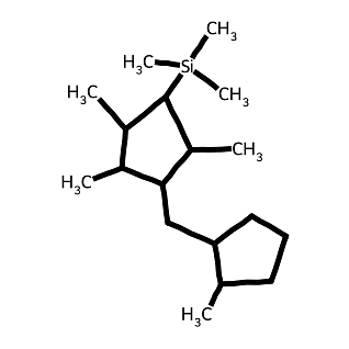 CC1CCCC1CC1C(C)C(C)C([Si](C)(C)C)C1C